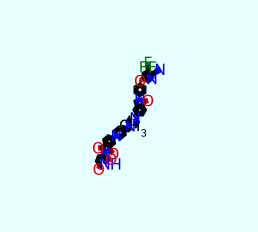 CC1(CN2CCN(c3ccc4c(c3)CN([C@H]3CC[C@H](Oc5cnc(C#N)c(C(F)(F)F)c5)CC3)C4=O)CC2)CCN(c2ccc3c(c2)C(=O)N(C2CCC(=O)NC2=O)C3=O)CC1